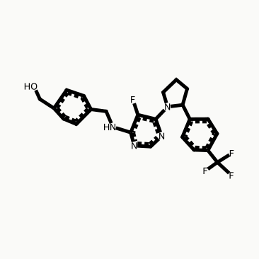 OCc1ccc(CNc2ncnc(N3CCCC3c3ccc(C(F)(F)F)cc3)c2F)cc1